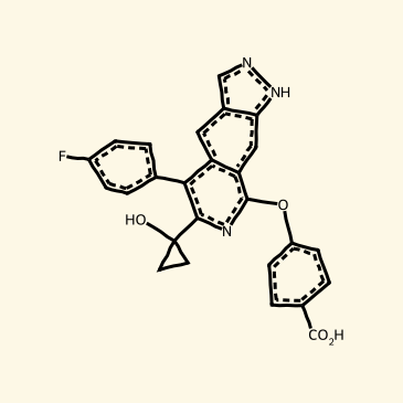 O=C(O)c1ccc(Oc2nc(C3(O)CC3)c(-c3ccc(F)cc3)c3cc4cn[nH]c4cc23)cc1